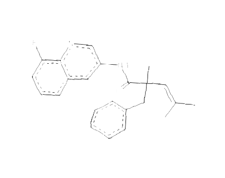 CC(C)=CC(C)(Cc1ccccc1)C(=O)Nc1cnc2c(F)cccc2c1